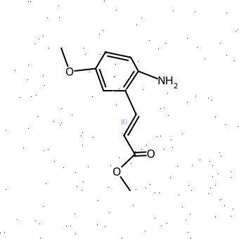 COC(=O)/C=C/c1cc(OC)ccc1N